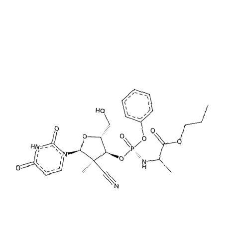 CCCOC(=O)C(C)N[P@](=O)(Oc1ccccc1)O[C@@H]1[C@@H](CO)O[C@H](n2ccc(=O)[nH]c2=O)[C@]1(C)C#N